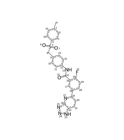 Cc1ccc(S(=O)(=O)Cc2ccc(NC(=O)c3cc(-c4ccc5[nH]nnc5n4)ccc3F)cc2)cc1